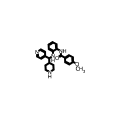 COc1ccc(C(=O)Nc2ccccc2NC(c2ccncc2)C2CCNCC2)cc1